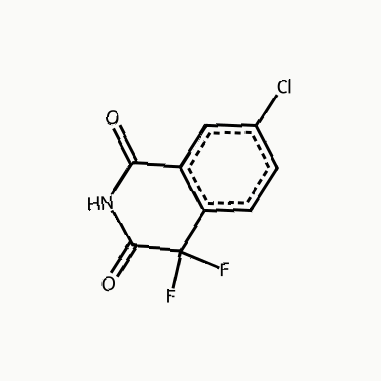 O=C1NC(=O)C(F)(F)c2ccc(Cl)cc21